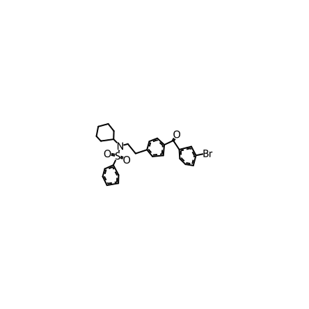 O=C(c1ccc(CCN(C2CCCCC2)S(=O)(=O)c2ccccc2)cc1)c1cccc(Br)c1